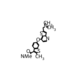 CNC(=O)c1c(C)sc2cc(Oc3ccnc4cc(CN(C)C)sc34)ccc12